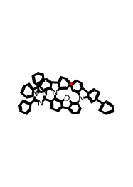 c1ccc(-c2ccc3c4ccccc4n(-c4cccc5c4oc4c(-n6c7ccccc7c7ccc(-c8ccccc8)cc76)c(-c6nc(-c7ccccc7)nc(-c7ccccc7)n6)ccc45)c3c2)cc1